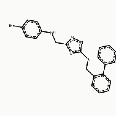 Brc1ccc(NCc2nnc(SCc3ccccc3-c3ccccc3)o2)cc1